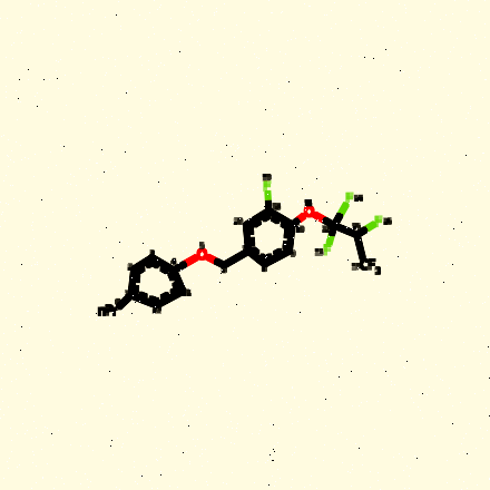 CCCc1ccc(OCc2ccc(OC(F)(F)C(F)C(F)(F)F)c(F)c2)cc1